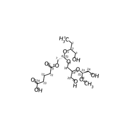 CCC(CO)O[C@@H](COC(=O)CCCC(=O)O)OCC(CO)O[C@@H](CO)OC